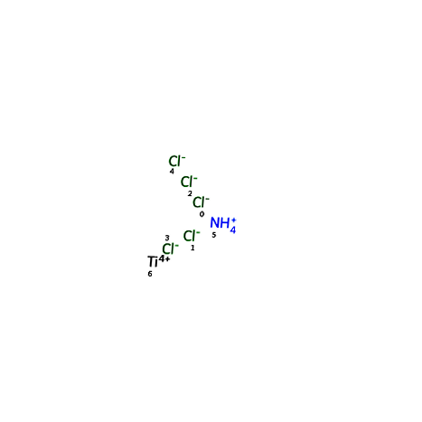 [Cl-].[Cl-].[Cl-].[Cl-].[Cl-].[NH4+].[Ti+4]